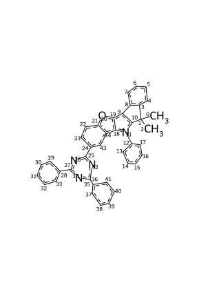 CC1(C)c2ccccc2-c2c1n(-c1ccccc1)c1c2oc2ccc(-c3nc(-c4ccccc4)nc(-c4ccccc4)n3)cc21